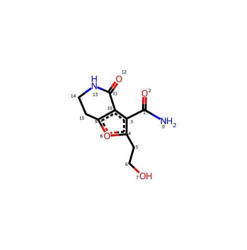 NC(=O)c1c(CCO)oc2c1C(=O)NCC2